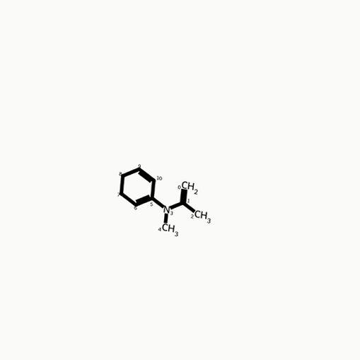 C=C(C)N(C)C1=CCCC=C1